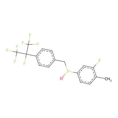 Cc1ccc([S+]([O-])Cc2ccc(C(F)(C(F)(F)F)C(F)(F)F)cc2)cc1F